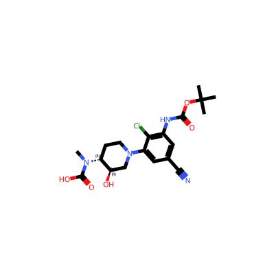 CN(C(=O)O)[C@@H]1CCN(c2cc(C#N)cc(NC(=O)OC(C)(C)C)c2Cl)C[C@H]1O